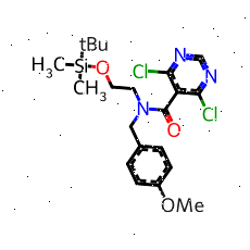 COc1ccc(CN(CCO[Si](C)(C)C(C)(C)C)C(=O)c2c(Cl)ncnc2Cl)cc1